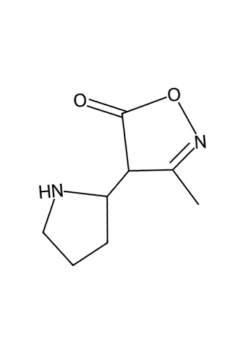 CC1=NOC(=O)C1C1CCCN1